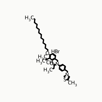 Br.CCCCCCCCCCCCCCOc1ccc(CN(C(=O)CC)c2ccc(CN3C=C(C)SC3)cc2)cc1C(C)(C)C